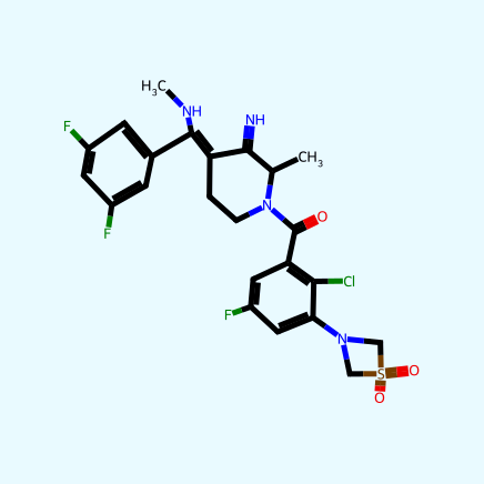 CN/C(=C1/CCN(C(=O)c2cc(F)cc(N3CS(=O)(=O)C3)c2Cl)C(C)C1=N)c1cc(F)cc(F)c1